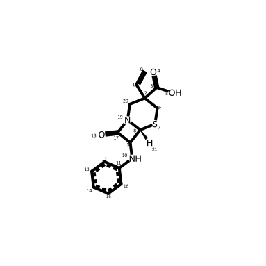 C=CC1(C(=O)O)CS[C@@H]2C(Nc3ccccc3)C(=O)N2C1